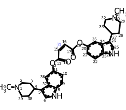 CN1CCC(c2c[nH]c3ccc(OC(=O)/C=C\C(=O)Oc4ccc5[nH]cc(C6CCN(C)CC6)c5c4)cc23)CC1